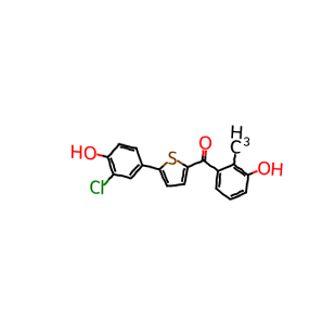 Cc1c(O)cccc1C(=O)c1ccc(-c2ccc(O)c(Cl)c2)s1